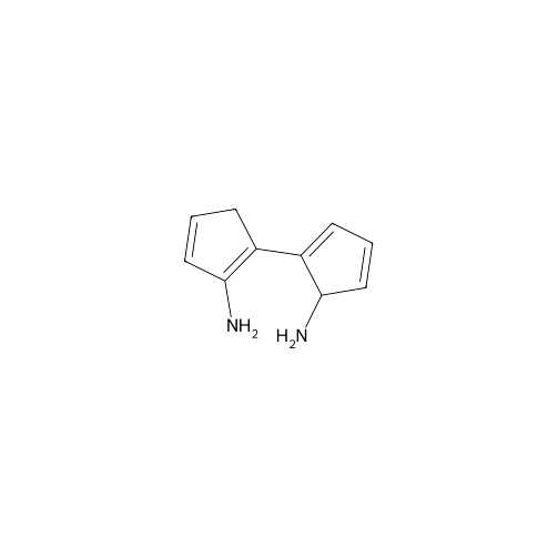 NC1=C(C2=CC=CC2N)CC=C1